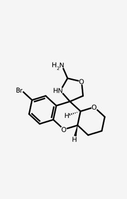 NC1NC2(CO1)c1cc(Br)ccc1O[C@H]1CCCO[C@@H]12